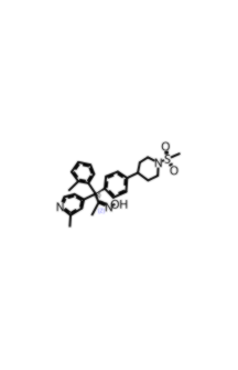 C/C(=N/O)[C@](c1ccc(C2CCN(S(C)(=O)=O)CC2)cc1)(c1ccnc(C)c1)c1ccccc1C